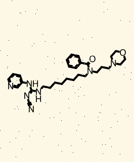 N#C/N=C(\NCCCCCCCCN(CCCN1CCOCC1)C(=O)c1ccccc1)Nc1cccnc1